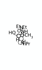 CCCN1CCC[C@@H]2c3cc(CO)cc4c3c(c(C)n4NC(=O)N(CC)CC)C[C@H]21